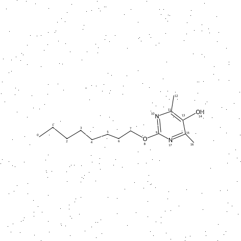 CCCCCCCCOc1nc(C)c(O)c(C)n1